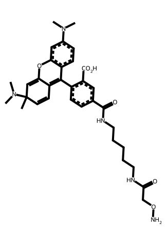 CN(C)c1ccc2c(c1)OC1=CC(C)(N(C)C)C=CC1=C2c1ccc(C(=O)NCCCCCNC(=O)CON)cc1C(=O)O